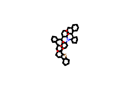 c1ccc(N(c2ccc(-c3cccc4c3sc3ccccc34)cc2)c2ccccc2-c2cc3ccccc3c3ccccc23)c(-c2cccc3ccccc23)c1